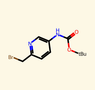 CC(C)(C)OC(=O)Nc1ccc(CBr)nc1